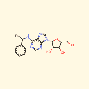 CC(C)C(Nc1ncnc2c1ncn2[C@@H]1O[C@H](CO)C(O)[C@@H]1O)c1ccccc1